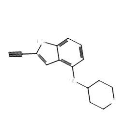 C#Cc1cc2c(NC3CCOCC3)cccc2[nH]1